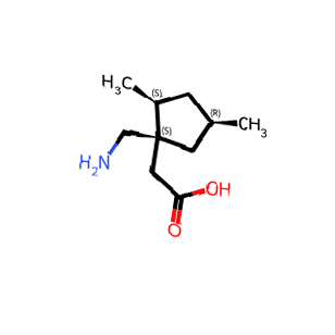 C[C@@H]1C[C@H](C)[C@@](CN)(CC(=O)O)C1